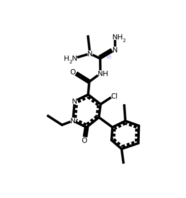 CCn1nc(C(=O)N/C(=N/N)N(C)N)c(Cl)c(-c2cc(C)ccc2C)c1=O